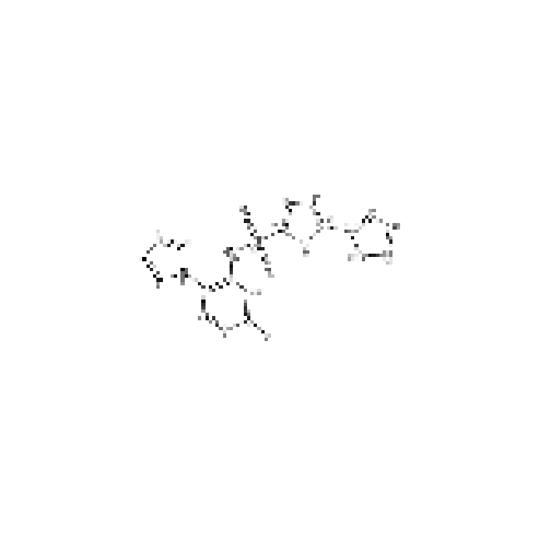 Cc1ccc(-n2cccc2)c(NS(=O)(=O)c2ccc(-c3ccno3)s2)c1